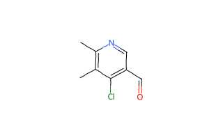 Cc1ncc(C=O)c(Cl)c1C